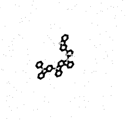 c1ccc(-n2c3ccccc3c3cc(-n4c5ccccc5c5c6c7ccccc7n(-c7nccc(-c8ccc9oc%10ccccc%10c9c8)n7)c6ccc54)ccc32)cc1